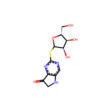 O=C1CNc2cnc(SC3O[C@H](CO)[C@@H](O)[C@H]3O)nc21